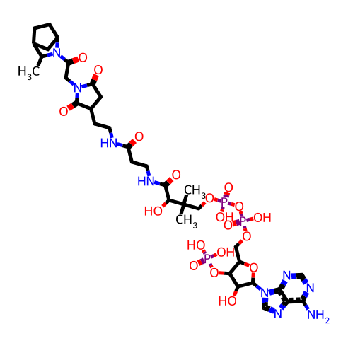 CC1C2CCC(C2)N1C(=O)CN1C(=O)CC(CCNC(=O)CCNC(=O)C(O)C(C)(C)COP(=O)(O)OP(=O)(O)OCC2OC(n3cnc4c(N)ncnc43)C(O)C2OP(=O)(O)O)C1=O